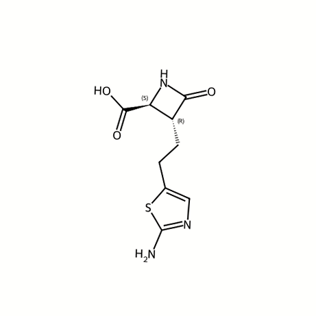 Nc1ncc(CC[C@H]2C(=O)N[C@@H]2C(=O)O)s1